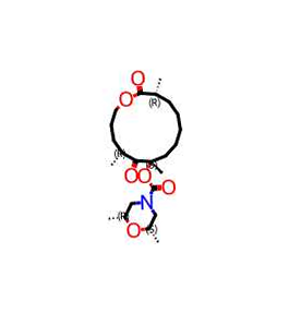 C[C@@H]1CN(C(=O)O[C@@]2(C)CCCCC[C@@H](C)C(=O)OCCC[C@@H](C)C2=O)C[C@H](C)O1